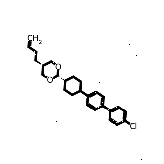 C=CCC[C@H]1CO[C@H](C2CCC(c3ccc(-c4ccc(Cl)cc4)cc3)CC2)OC1